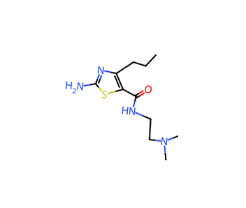 CCCc1nc(N)sc1C(=O)NCCN(C)C